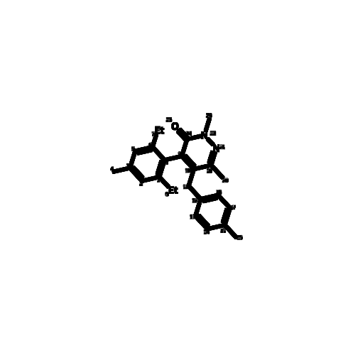 CCc1cc(C)cc(CC)c1-c1c(Cc2ccc(C)cc2)c(C)nn(C)c1=O